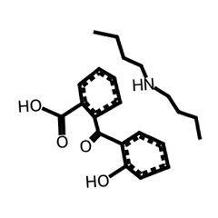 CCCCNCCCC.O=C(O)c1ccccc1C(=O)c1ccccc1O